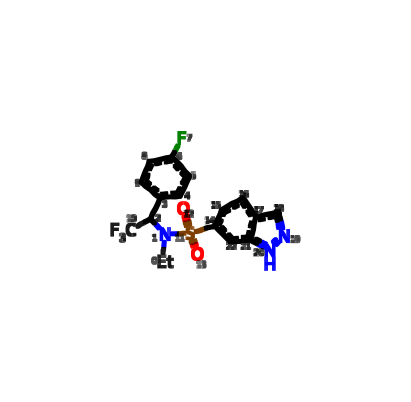 CCN(C(c1ccc(F)cc1)C(F)(F)F)S(=O)(=O)c1ccc2cn[nH]c2c1